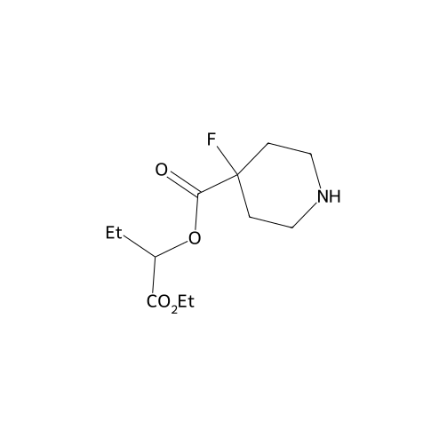 CCOC(=O)C(CC)OC(=O)C1(F)CCNCC1